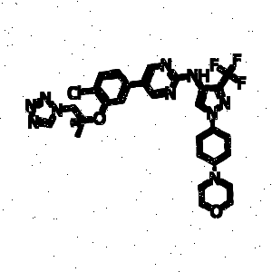 C[C@@H](Cn1cnnn1)Oc1cc(-c2cnc(Nc3cn([C@H]4CC[C@H](N5CCOCC5)CC4)nc3C(F)(F)F)nc2)ccc1Cl